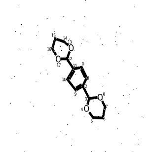 c1cc(C2OCCCO2)ccc1C1OCCCO1